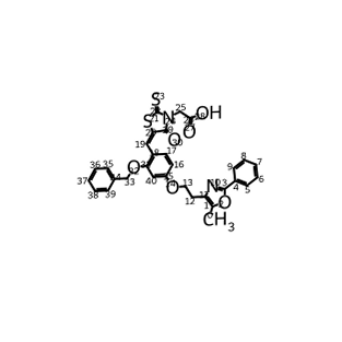 Cc1oc(-c2ccccc2)nc1CCOc1ccc(C=C2SC(=S)N(CC(=O)O)C2=O)c(OCc2ccccc2)c1